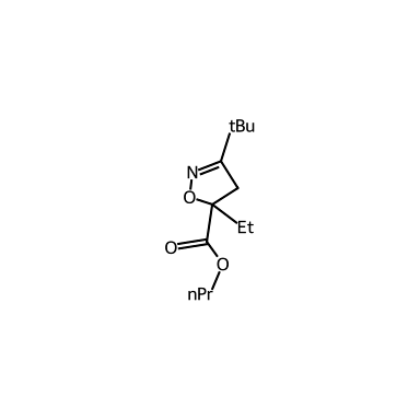 CCCOC(=O)C1(CC)CC(C(C)(C)C)=NO1